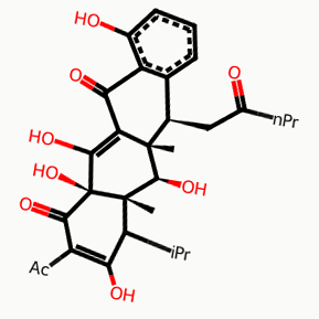 CCCC(=O)C[C@@H]1c2cccc(O)c2C(=O)C2=C(O)[C@@]3(O)C(=O)C(C(C)=O)=C(O)C(C(C)C)[C@@]3(C)[C@H](O)[C@]21C